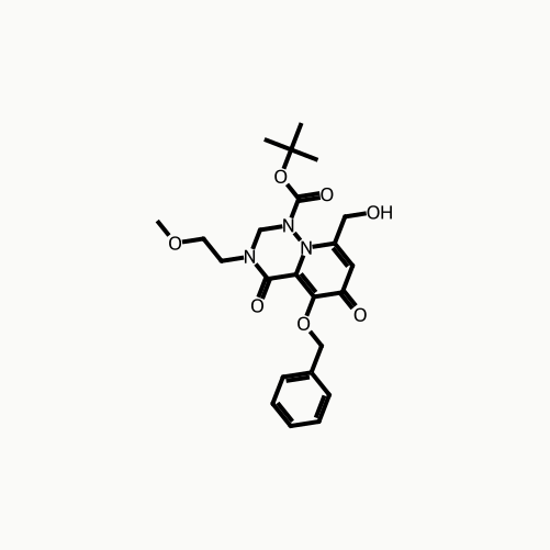 COCCN1CN(C(=O)OC(C)(C)C)n2c(CO)cc(=O)c(OCc3ccccc3)c2C1=O